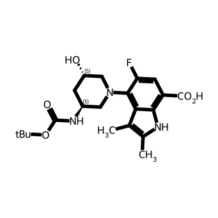 Cc1[nH]c2c(C(=O)O)cc(F)c(N3C[C@@H](O)C[C@H](NC(=O)OC(C)(C)C)C3)c2c1C